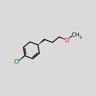 COCCC[C@H]1C=CC(Cl)=CC1